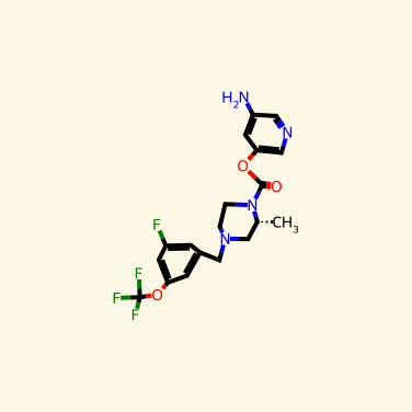 C[C@@H]1CN(Cc2cc(F)cc(OC(F)(F)F)c2)CCN1C(=O)Oc1cncc(N)c1